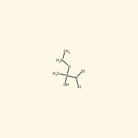 CCN(CC)[Si](C)(O)O[SiH2]C